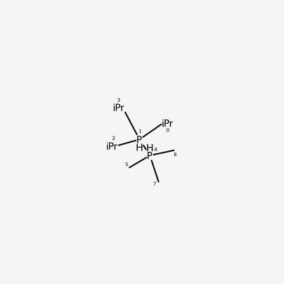 CC(C)[PH](C(C)C)(C(C)C)[PH](C)(C)C